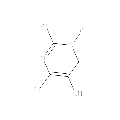 N#CC1=C(Cl)N=C(Cl)N(Cl)C1